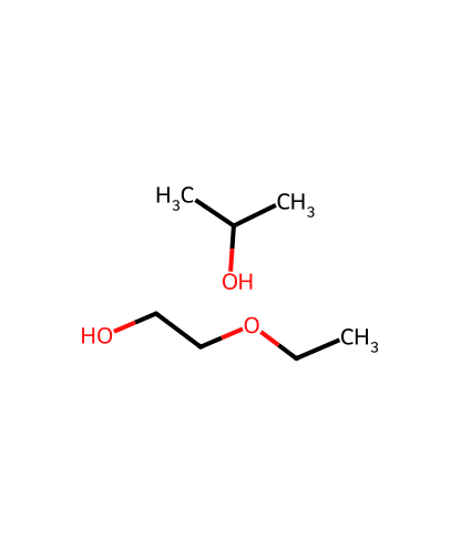 CC(C)O.CCOCCO